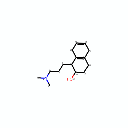 CN(C)CCCC1C2=C(CC=CC2)CCC1O